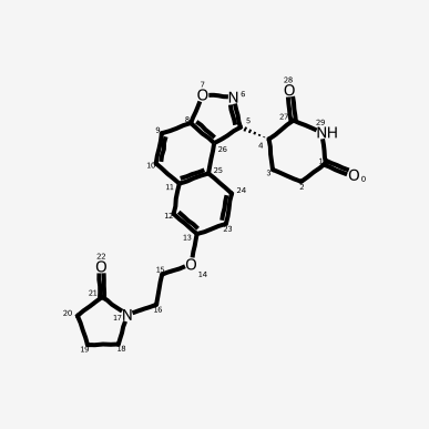 O=C1CC[C@H](c2noc3ccc4cc(OCCN5CCCC5=O)ccc4c23)C(=O)N1